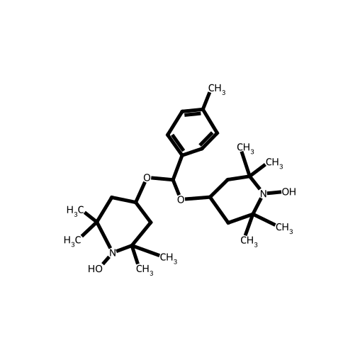 Cc1ccc(C(OC2CC(C)(C)N(O)C(C)(C)C2)OC2CC(C)(C)N(O)C(C)(C)C2)cc1